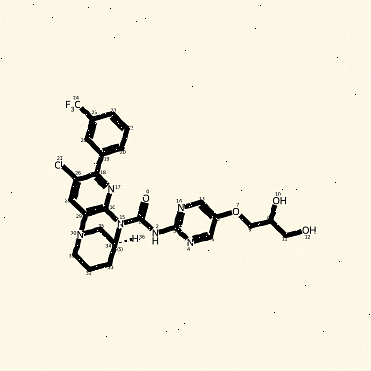 O=C(Nc1ncc(OCC(O)CO)cn1)N1c2nc(-c3cccc(C(F)(F)F)c3)c(Cl)cc2N2CCC[C@H]1C2